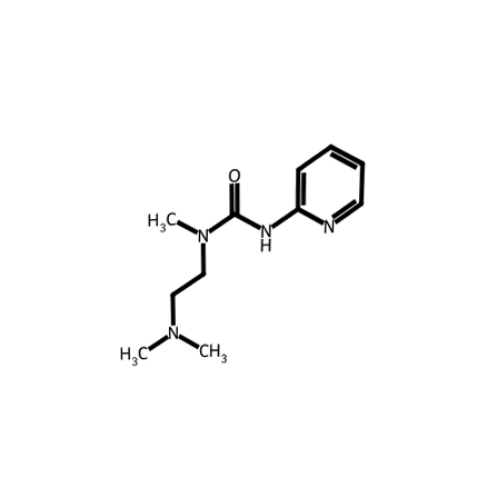 CN(C)CCN(C)C(=O)Nc1ccccn1